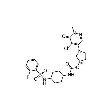 Cn1ncc(N2CC[C@@H](OC(=O)NC3CCC(NS(=O)(=O)c4ccccc4F)CC3)C2)c(Cl)c1=O